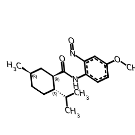 COc1ccc(NC(=O)[C@@H]2C[C@H](C)CC[C@H]2C(C)C)c(N=O)c1